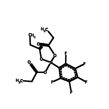 CCC(=O)O[Si](OC(=O)CC)(OC(=O)CC)c1c(F)c(F)c(F)c(F)c1F